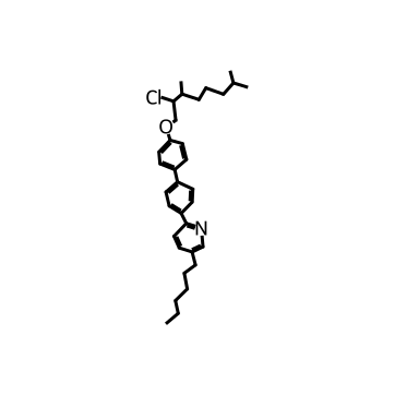 CCCCCCc1ccc(-c2ccc(-c3ccc(OCC(Cl)C(C)CCCC(C)C)cc3)cc2)nc1